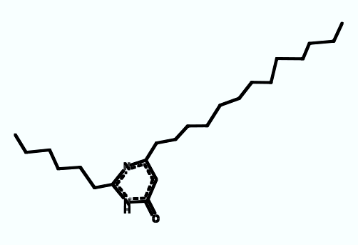 CCCCCCCCCCCCCc1cc(=O)[nH]c(CCCCCC)n1